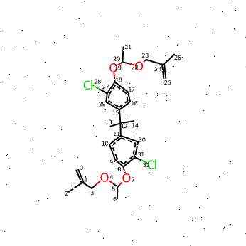 C=C(C)COC(C)Oc1ccc(C(C)(C)c2ccc(OC(C)OCC(=C)C)c(Cl)c2)cc1Cl